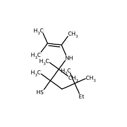 CCC(C)(C)CC(C)(S)C(C)(C)NC(C)=C(C)C